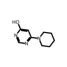 Oc1cc(N2CCCCC2)ncn1